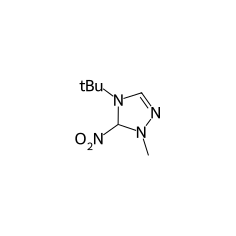 CN1N=CN(C(C)(C)C)C1[N+](=O)[O-]